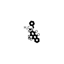 Cc1nc2/c(=N/O)c3c(=O)c4ccccc4c(=O)c=3c(=O)c2n1Cc1ccccc1